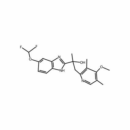 COc1c(C)cnc(CC(C)(O)c2nc3cc(OC(F)F)ccc3[nH]2)c1C